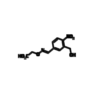 O=C(O)CON=Cc1ccc([N+](=O)[O-])c(CO)c1